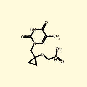 Cc1cn(CC2(OC[PH](=O)O)CC2)c(=O)[nH]c1=O